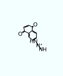 N=[N+]=N.O=C1C=CC(=O)c2ccccc21